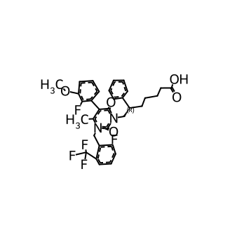 COc1cccc(-c2c(C)n(Cc3c(F)cccc3C(F)(F)F)c(=O)n(C[C@H](CCCCC(=O)O)c3ccccc3)c2=O)c1F